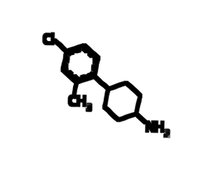 Cc1cc(Cl)ccc1C1CCC(N)CC1